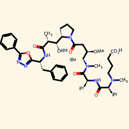 CC[C@H](C)[C@@H]([C@@H](CC(=O)N1CCC[C@H]1[C@H](OC)[C@@H](C)C(=O)N[C@H](Cc1ccccc1)c1nnc(-c2ccccc2)o1)OC)N(C)C(=O)[C@@H](NC(=O)[C@H](C(C)C)N(C)CCCC(=O)O)C(C)C